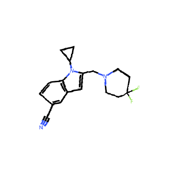 N#Cc1ccc2c(c1)cc(CN1CCC(F)(F)CC1)n2C1CC1